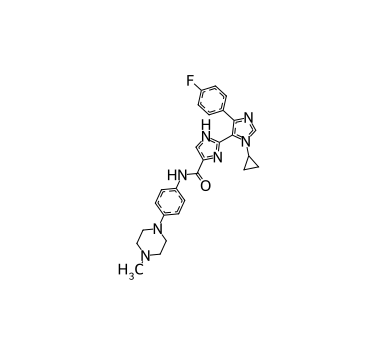 CN1CCN(c2ccc(NC(=O)c3c[nH]c(-c4c(-c5ccc(F)cc5)ncn4C4CC4)n3)cc2)CC1